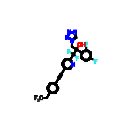 OC(Cn1cnnn1)(c1ccc(F)cc1F)C(F)(F)c1ccc(C#Cc2ccc(CC(F)(F)F)cc2)cn1